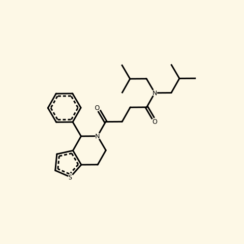 CC(C)CN(CC(C)C)C(=O)CCC(=O)N1CCc2sccc2C1c1ccccc1